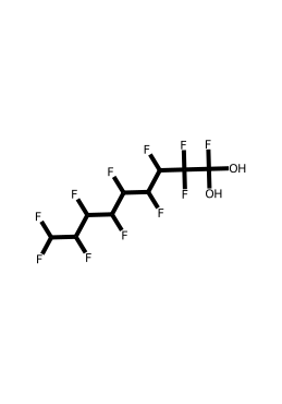 OC(O)(F)C(F)(F)C(F)C(F)C(F)C(F)C(F)C(F)C(F)F